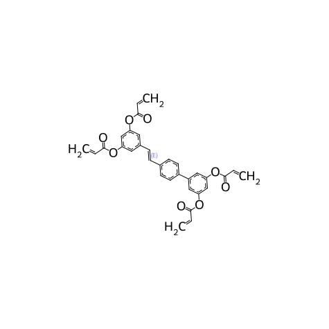 C=CC(=O)Oc1cc(/C=C/c2ccc(-c3cc(OC(=O)C=C)cc(OC(=O)C=C)c3)cc2)cc(OC(=O)C=C)c1